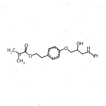 CC(C)NCC(O)COc1ccc(CCOC(=O)N(C)C)cc1